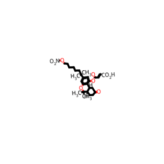 CC(C)(CCCCCCO[N+](=O)[O-])c1cc(OC(=O)C=CC(=O)O)c2c(c1)OC(C)(C)[C@H]1CCC(=O)C[C@@H]21